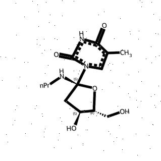 CCCN[C@]1(n2cc(C)c(=O)[nH]c2=O)C[C@H](O)[C@@H](CO)O1